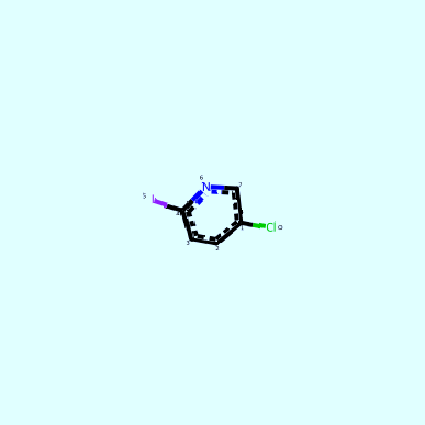 Clc1ccc(I)nc1